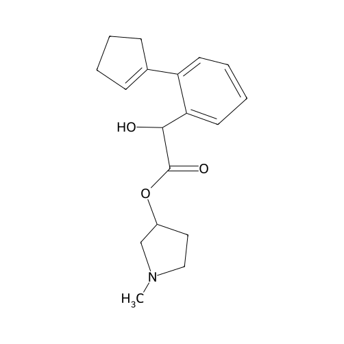 CN1CCC(OC(=O)C(O)c2ccccc2C2=CCCC2)C1